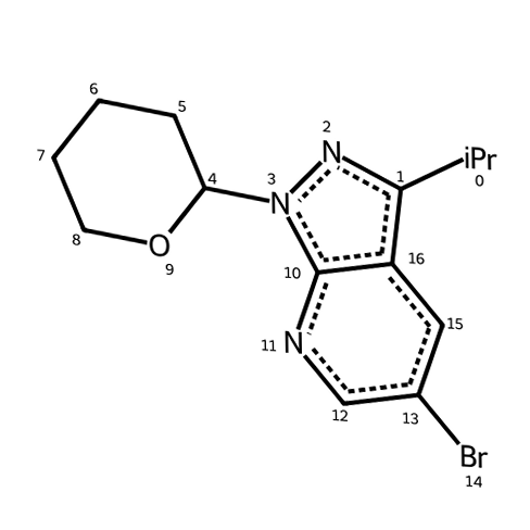 CC(C)c1nn(C2CCCCO2)c2ncc(Br)cc12